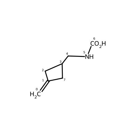 C=C1CC(CNC(=O)O)C1